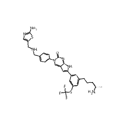 C[C@H](N)CCCc1cc(SC(F)(F)F)cc(-c2cc3cn(-c4ccc(CNCc5cnc(N)s5)cc4)c(=O)nc3[nH]2)c1